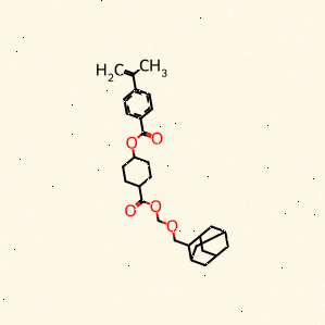 C=C(C)c1ccc(C(=O)OC2CCC(C(=O)OCOCC3C4CC5CC(C4)CC3C5)CC2)cc1